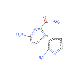 NC(=O)c1nccc(N)n1.Nc1ccccn1